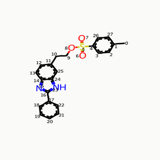 Cc1ccc(S(=O)(=O)OCCc2ccc3nc(-c4ccccc4)[nH]c3c2)cc1